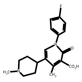 Cc1c(C2CCN(C)CC2)cn(-c2ccc(F)cc2)c(=O)c1C(=O)O